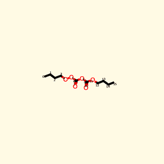 CCCCOOC(=O)OC(=O)OCCCC